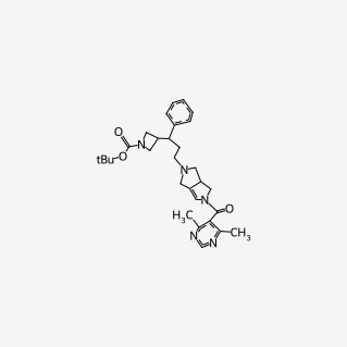 Cc1ncnc(C)c1C(=O)N1C=C2CN(CCC(c3ccccc3)C3CN(C(=O)OC(C)(C)C)C3)CC2C1